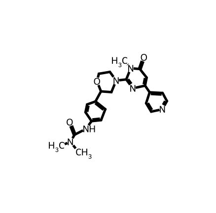 CN(C)C(=O)Nc1ccc(C2CN(c3nc(-c4ccncc4)cc(=O)n3C)CCO2)cc1